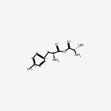 CC(C)[C@H](N)C(=O)OC(=O)[C@@H](N)Cc1ccc(Cl)cc1